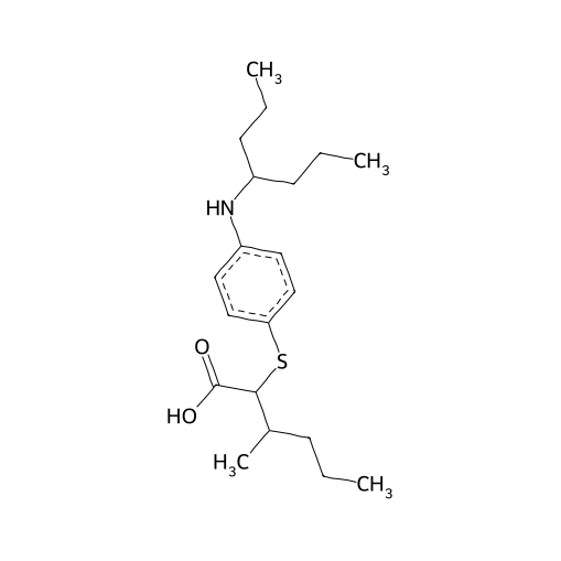 CCCC(CCC)Nc1ccc(SC(C(=O)O)C(C)CCC)cc1